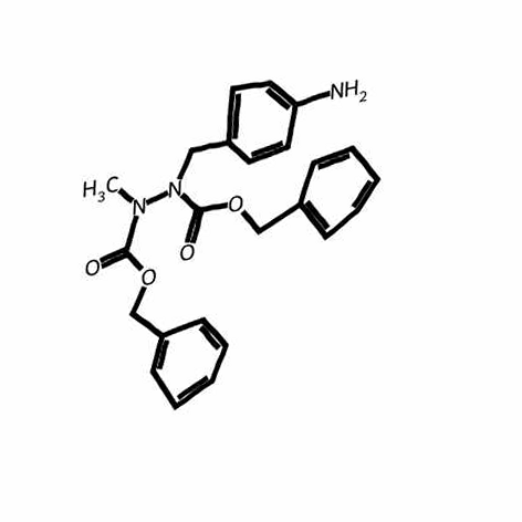 CN(C(=O)OCc1ccccc1)N(Cc1ccc(N)cc1)C(=O)OCc1ccccc1